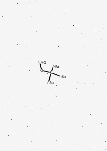 CCCC[Si](CCCC)(CCCC)OC=O